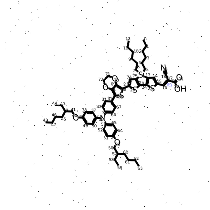 CCCCCC[Si]1(CCCCCC)c2cc(/C=C(\C#N)C(=O)O)sc2-c2sc(-c3sc(-c4ccc(N(c5ccc(OCC(CC)CCCC)cc5)c5ccc(OCC(CC)CCCC)cc5)cc4)c4c3OCCO4)cc21